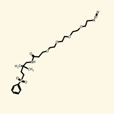 CC(C)([CH]CS(=O)(=O)c1ccccc1)CNC(=O)CCOCCOCCOCCOCCN=[N+]=[N-]